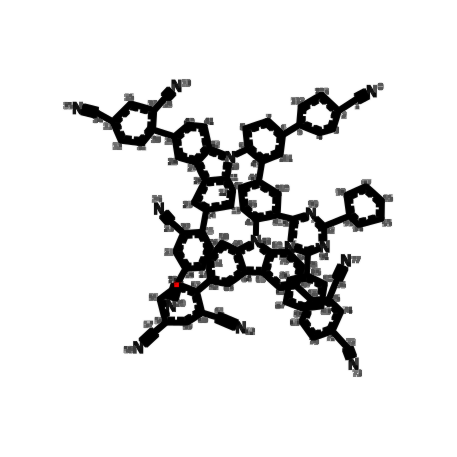 N#Cc1ccc(-c2ccc(-n3c4ccc(-c5ccc(C#N)cc5C#N)cc4c4cc(-c5ccc(C#N)cc5C#N)ccc43)c(-c3ccc(-n4c5ccc(-c6ccc(C#N)cc6C#N)cc5c5cc(-c6ccc(C#N)cc6C#N)ccc54)c(-c4nc(-c5ccccc5)nc(-c5ccccc5)n4)c3)c2)cc1